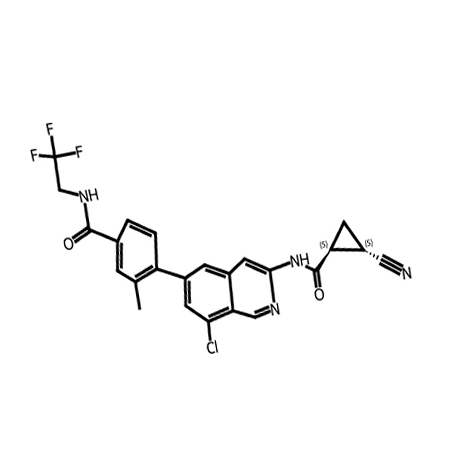 Cc1cc(C(=O)NCC(F)(F)F)ccc1-c1cc(Cl)c2cnc(NC(=O)[C@H]3C[C@@H]3C#N)cc2c1